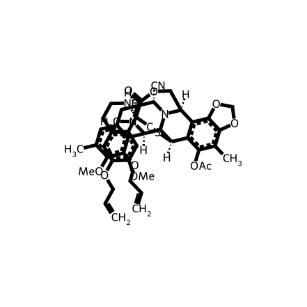 C=CCOc1cc2c(cc1OC)[C@@]1(CS[C@@H]3c4c(OC(C)=O)c(C)c5c(c4[C@H](COC1=O)N1C3[C@H]3c4c(cc(C)c(OC)c4OCC=C)C[C@@H]([C@@H]1C#N)N3C)OCO5)NCC2